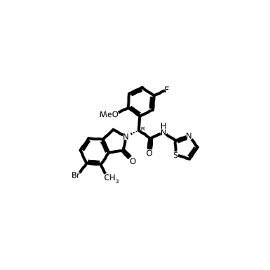 COc1ccc(F)cc1[C@H](C(=O)Nc1nccs1)N1Cc2ccc(Br)c(C)c2C1=O